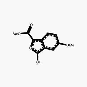 COC(=O)c1oc(O)c2cc(OC)ccc12